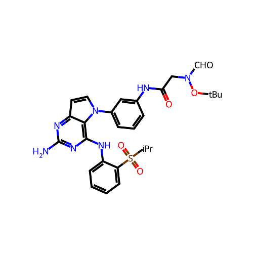 CC(C)S(=O)(=O)c1ccccc1Nc1nc(N)nc2ccn(-c3cccc(NC(=O)CN(C=O)OC(C)(C)C)c3)c12